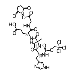 CC(C)(NC(=O)[C@H](Cc1c[nH]cn1)NC(=O)OCC(Cl)(Cl)Cl)C(=O)N[C@@H](CCC(=O)O)C(=O)NCC(=O)ON1C(=O)CCC1=O